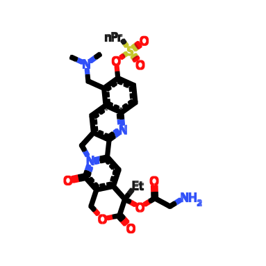 CCCS(=O)(=O)Oc1ccc2nc3c(cc2c1CN(C)C)Cn1c-3cc2c(c1=O)COC(=O)C2(CC)OC(=O)CN